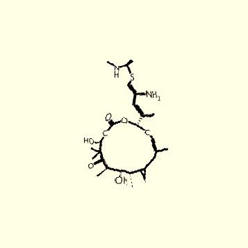 C=C(NC)S/C=C(N)/C=C(\C)[C@@H]1C/C=C(/C)CC2CC2[C@H](C)[C@H](O)[C@@H](C)C(=O)C(C)(C)[C@@H](O)CC(=O)O1